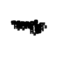 Cc1c(N2CCN(C(=O)OC(C)(C)C)[C@@H](C)C2)ccc2c3c(c(=O)oc12)CN(C(=O)c1ccc(NS(C)(=O)=O)c(OC(F)(F)F)c1)CC3